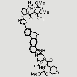 CCC[C@H](I)N(Cc1nc2ccc3cc4c(cc3c2[nH]1)OCc1cc(-c2cnc([C@@H]3CC[C@H](C)N3C(=O)[C@@H](NC(=O)OC)[C@@H](C)OC)[nH]2)ccc1-4)C(=O)[C@@H](NC(=O)OC)C1CCOCC1